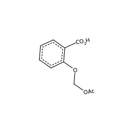 CC(=O)OCOc1ccccc1C(=O)O